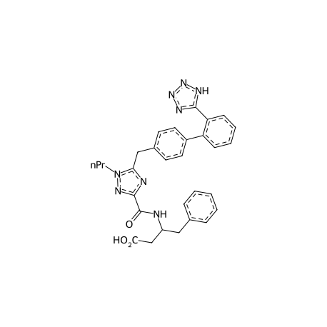 CCCn1nc(C(=O)NC(CC(=O)O)Cc2ccccc2)nc1Cc1ccc(-c2ccccc2-c2nnn[nH]2)cc1